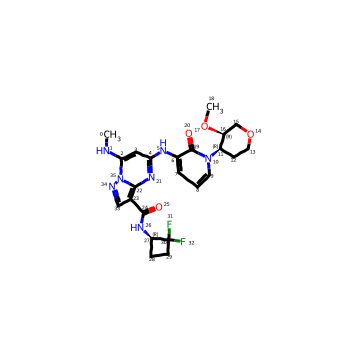 CNc1cc(Nc2cccn([C@@H]3CCOC[C@@H]3OC)c2=O)nc2c(C(=O)N[C@@H]3CCC3(F)F)cnn12